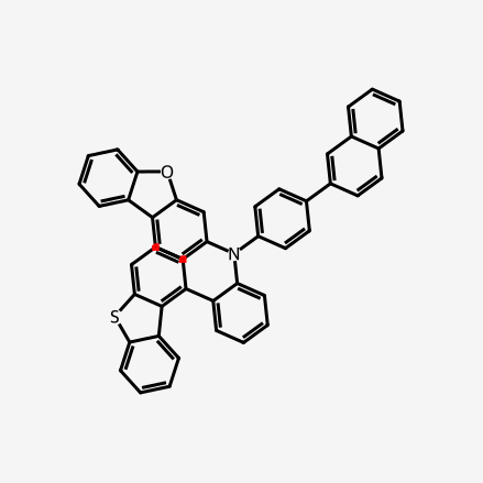 c1ccc(N(c2ccc(-c3ccc4ccccc4c3)cc2)c2ccc3c(c2)oc2ccccc23)c(-c2cccc3sc4ccccc4c23)c1